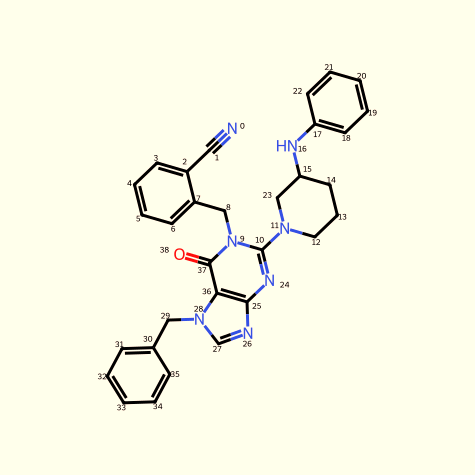 N#Cc1ccccc1Cn1c(N2CCCC(Nc3ccccc3)C2)nc2ncn(Cc3ccccc3)c2c1=O